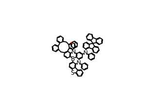 c1ccc(N(c2cc3c4c(c2)N(c2ccccc2)c2c(ccc5sc6ccccc6c25)B4c2ccc4c(c2N3c2ccccc2)-c2ccccc2Cc2ccccc2-c2ccccc2C4)c2cccc3c2-c2ccccc2C32c3ccccc3-c3ccccc32)cc1